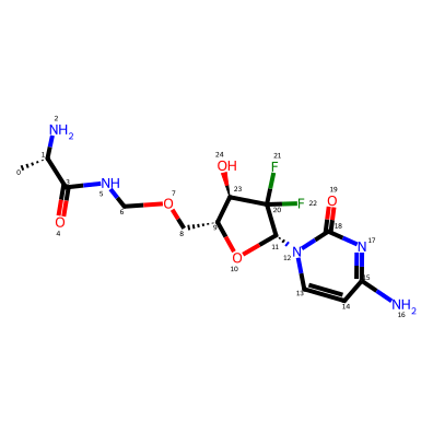 C[C@H](N)C(=O)NCOC[C@H]1O[C@@H](n2ccc(N)nc2=O)C(F)(F)[C@@H]1O